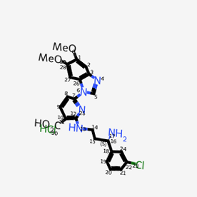 COc1cc2ncn(-c3ccc(C(=O)O)c(NCC[C@H](N)c4cccc(Cl)c4)n3)c2cc1OC.Cl